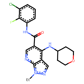 CCn1ncc2c(NC3CCOCC3)c(C(=O)Nc3cccc(Cl)c3F)cnc21